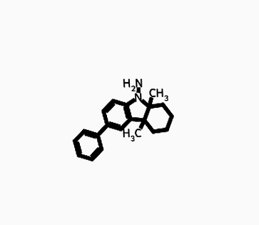 CC12CCCCC1(C)N(N)c1ccc(-c3ccccc3)cc12